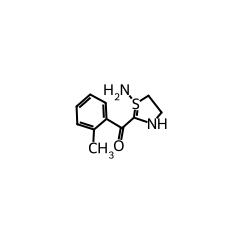 Cc1ccccc1C(=O)C1=S(N)CCN1